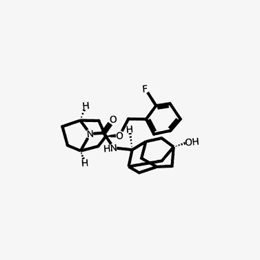 O=C(N[C@H]1C2CC3CC1C[C@](O)(C3)C2)N1[C@@H]2CC[C@H]1C[C@@H](OCc1ccccc1F)C2